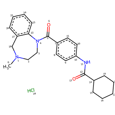 CN1CCN(C(=O)c2ccc(NC(=O)C3CCCCC3)cc2)c2ccccc2C1.Cl